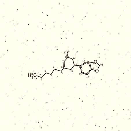 CCCCCCC1=CC(=O)CC(c2ccc3c(c2)OCO3)C1